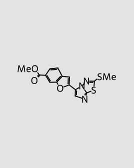 COC(=O)c1ccc2cc(-c3cnc4sc(SC)nn34)oc2c1